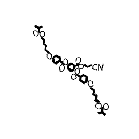 C=C(C)C(=O)OCCCCCCOc1ccc(C(=O)Oc2ccc(OC(=O)c3ccc(OCCCCCCOC(=O)C(=C)C)cc3)c(C(=O)OCCCC#N)c2)cc1